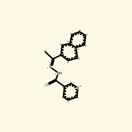 C/C(=N/NC(=O)c1cccnc1)c1ccc2ccccc2c1